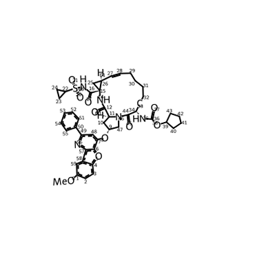 COc1ccc2oc3c(O[C@@H]4C[C@H]5C(=O)N[C@]6(C(=O)NS(=O)(=O)C7CC7)C[C@H]6/C=C\CCCCC[C@H](NC(=O)OC6CCCC6)C(=O)N5C4)cc(-c4ccccc4)nc3c2c1